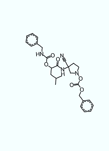 CC(C)CC(OC(=O)NCc1ccccc1)C(=O)NC1(C#N)CCN(OC(=O)OCc2ccccc2)C1